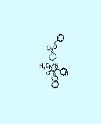 Cn1c(C2CCN(C(=O)OCc3ccccc3)CC2)nc(-c2ccncc2)c(N2Cc3ccccc3C2)c1=O